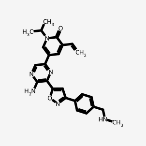 C=Cc1cc(-c2cnc(N)c(-c3cc(-c4ccc(CNC)cc4)no3)n2)cn(C(C)C)c1=O